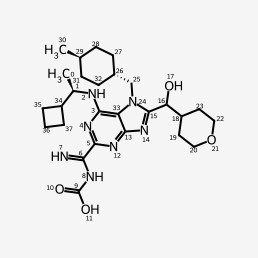 C[C@@H](Nc1nc(C(=N)NC(=O)O)nc2nc(C(O)C3CCOCC3)n(C[C@H]3CC[C@H](C)CC3)c12)C1CCC1